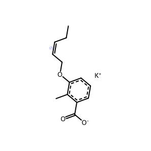 CC/C=C\COc1cccc(C(=O)[O-])c1C.[K+]